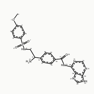 COc1ccc(S(=O)(=O)NCC(N)c2ccc(C(=O)Nc3ncnc4[nH]cnc34)cc2)cc1